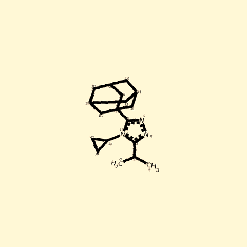 CC(C)c1nnc(C23CC4CC(CC(C4)C2)C3)n1C1CC1